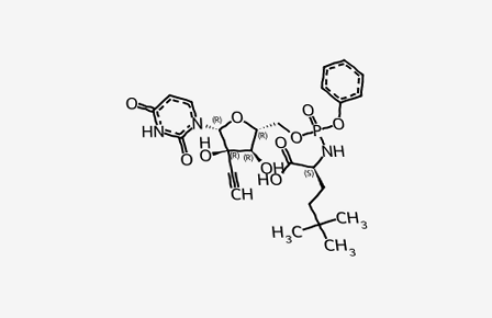 C#C[C@@]1(O)[C@H](O)[C@@H](COP(=O)(N[C@@H](CCC(C)(C)C)C(=O)O)Oc2ccccc2)O[C@H]1n1ccc(=O)[nH]c1=O